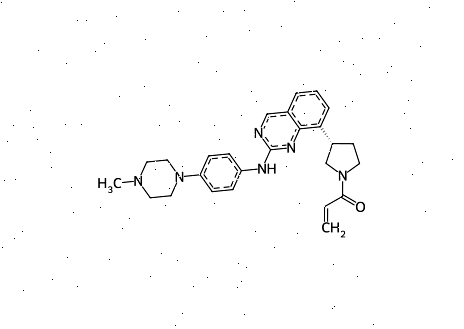 C=CC(=O)N1CC[C@@H](c2cccc3cnc(Nc4ccc(N5CCN(C)CC5)cc4)nc23)C1